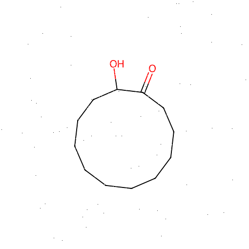 O=C1CCCCCCCCCCC1O